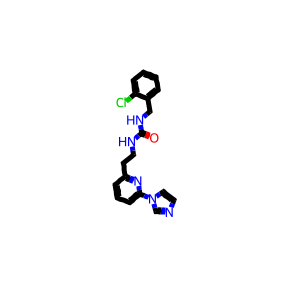 O=C(NCCc1cccc(-n2ccnc2)n1)NCc1ccccc1Cl